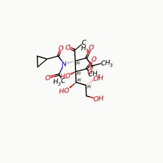 CC(=O)C(=O)[C@@](C(C)=O)(N(C(C)=O)C(=O)C1CC1)[C@](O)(C(C)=O)[C@H](O)[C@H](O)CO